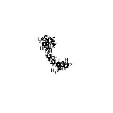 C[C@H]1C[C@@H](c2ccc3c(C4CCC(=O)NC4=O)nn(C)c3c2)CCN1CC1CCN(c2ncc(Cl)c(Nc3ccc4c(c3)c3c(c(=O)n4C)OCC(F)(F)[C@H](C4CC4)N3)n2)CC1